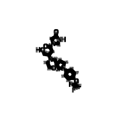 O=C1CN(C(=O)CC(CO)N2CCOC3(CCN(c4ccc(OC(F)(F)F)cc4)C3)C2)CN1